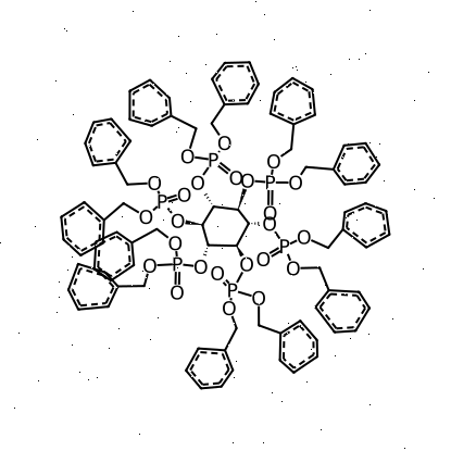 O=P(OCc1ccccc1)(OCc1ccccc1)O[C@H]1[C@H](OP(=O)(OCc2ccccc2)OCc2ccccc2)[C@@H](OP(=O)(OCc2ccccc2)OCc2ccccc2)[C@H](OP(=O)(OCc2ccccc2)OCc2ccccc2)[C@@H](OP(=O)(OCc2ccccc2)OCc2ccccc2)[C@@H]1OP(=O)(OCc1ccccc1)OCc1ccccc1